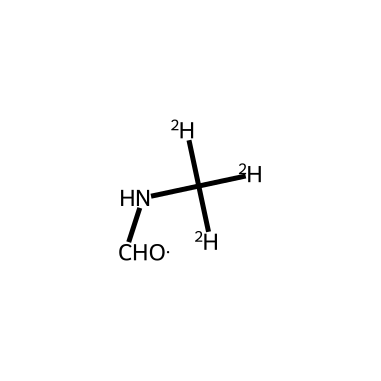 [2H]C([2H])([2H])N[C]=O